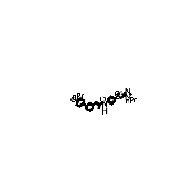 CCCOc1ccc(-c2cccc(/C=C(\C)C(=O)Nc3ccc([S+]([O-])Cc4cncn4CCC)cc3)c2)cc1